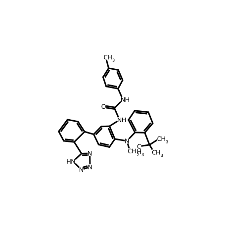 Cc1ccc(NC(=O)Nc2cc(-c3ccccc3-c3nnn[nH]3)ccc2N(C)c2ccccc2C(C)(C)C)cc1